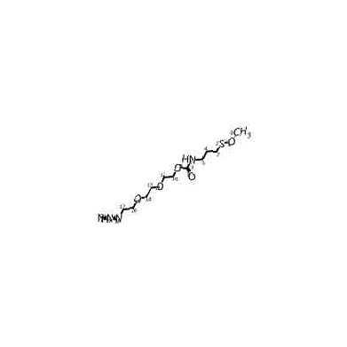 COSCCCNC(=O)OCCOCCOCCN=[N+]=[N-]